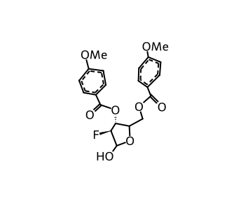 COc1ccc(C(=O)OCC2OC(O)[C@@H](F)[C@@H]2OC(=O)c2ccc(OC)cc2)cc1